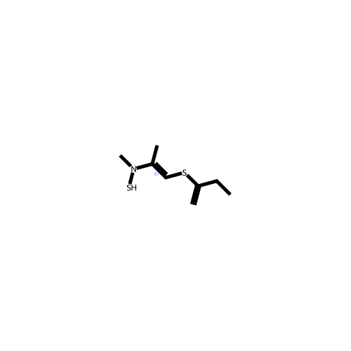 C=C(CC)S/C=C(\C)N(C)S